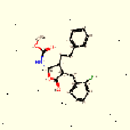 CC(C)(C)OC(=O)N[C@H]1OC(=O)[C@H](Cc2ccccc2F)C1CCc1ccccc1